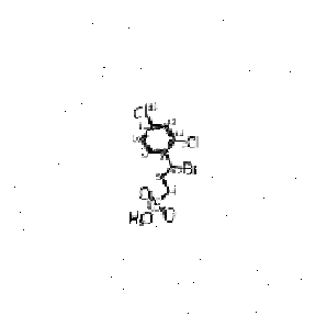 O=S(=O)(O)CCC(Br)c1ccc(Cl)cc1Cl